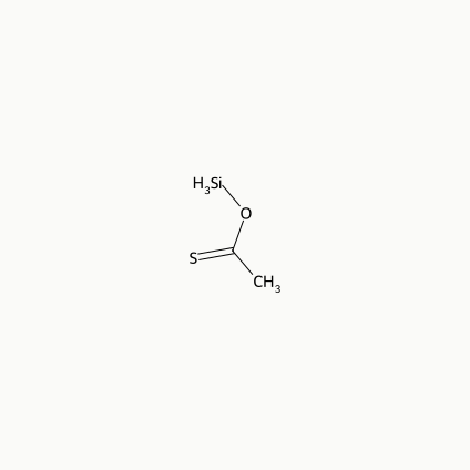 CC(=S)O[SiH3]